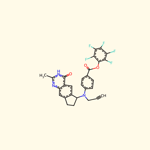 C#CCN(c1ccc(C(=O)Oc2c(F)c(F)c(F)c(F)c2F)cc1)C1CCc2cc3nc(C)[nH]c(=O)c3cc21